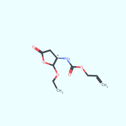 C=CCOC(=O)N[C@@H]1CC(=O)OC1OCC